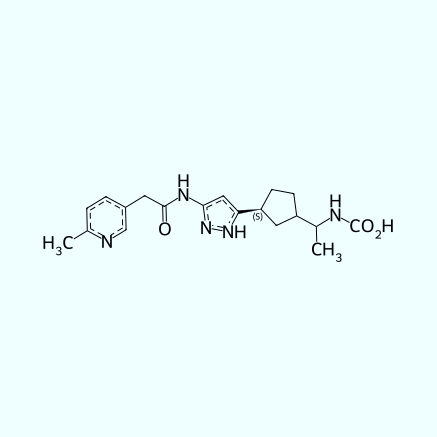 Cc1ccc(CC(=O)Nc2cc([C@H]3CCC(C(C)NC(=O)O)C3)[nH]n2)cn1